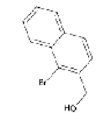 OCc1ccc2ccccc2c1Br